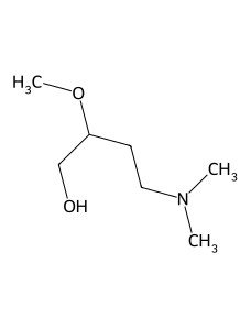 COC(CO)CCN(C)C